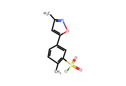 Cc1cc(-c2ccc(C)c(S(=O)(=O)Cl)c2)on1